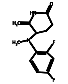 C=C1NC(=O)CCC1N(C)c1ccc(F)cc1F